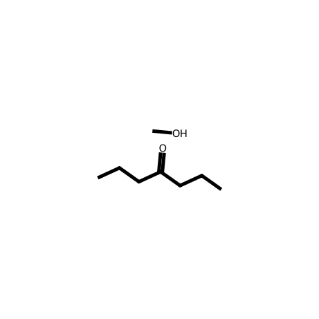 CCCC(=O)CCC.CO